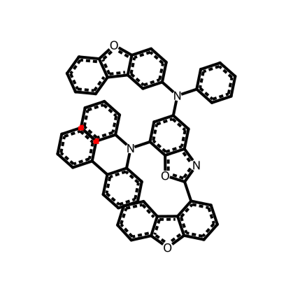 c1ccc(-c2ccccc2N(c2ccccc2)c2cc(N(c3ccccc3)c3ccc4oc5ccccc5c4c3)cc3nc(-c4cccc5oc6ccccc6c45)oc23)cc1